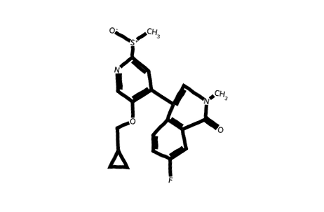 Cn1cc(-c2cc([S+](C)[O-])ncc2OCC2CC2)c2ccc(F)cc2c1=O